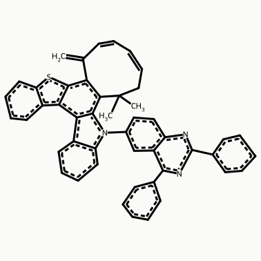 C=C1/C=C\C=C/CC(C)(C)c2c1c1sc3ccccc3c1c1c3ccccc3n(-c3ccc4nc(-c5ccccc5)nc(-c5ccccc5)c4c3)c21